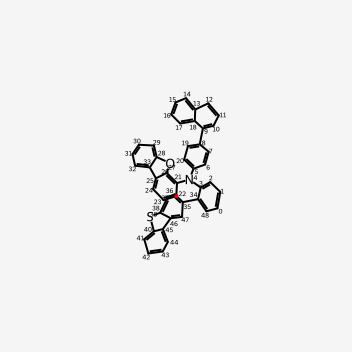 c1ccc(N(c2ccc(-c3cccc4ccccc34)cc2)c2cccc3c2oc2ccccc23)c(-c2ccc3sc4ccccc4c3c2)c1